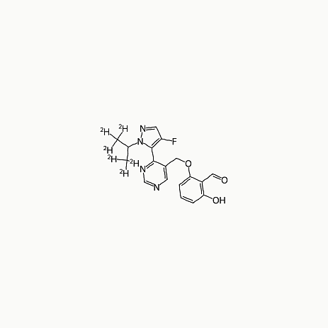 [2H]C([2H])([2H])C(n1ncc(F)c1-c1ncncc1COc1cccc(O)c1C=O)C([2H])([2H])[2H]